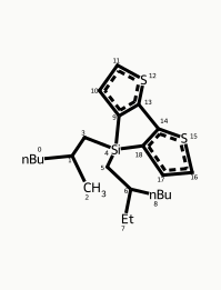 CCCCC(C)C[Si]1(CC(CC)CCCC)c2ccsc2-c2sccc21